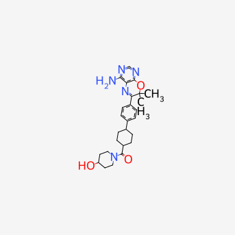 CC1(C)Oc2ncnc(N)c2N=C1c1ccc(C2CCC(C(=O)N3CCC(O)CC3)CC2)cc1